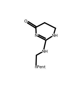 CCCCCCNC1=NC(=O)CCN1